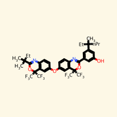 CCCC(C)(CC)c1cc(O)cc(C2=Nc3ccc(Oc4ccc5c(c4)C(C(F)(F)F)(C(F)(F)F)OC(C(C)(C)CC)=N5)cc3C(C(F)(F)F)(C(F)(F)F)O2)c1